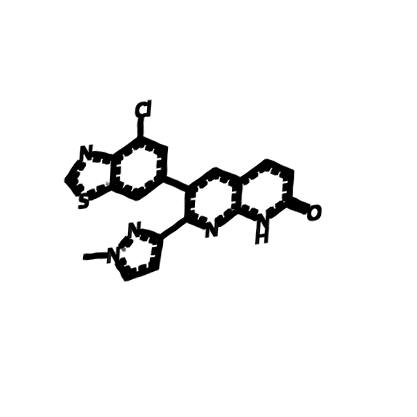 Cn1ccc(-c2nc3[nH]c(=O)ccc3cc2-c2cc(Cl)c3ncsc3c2)n1